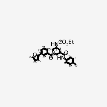 CCOC(=O)NC1CC(C(=O)Nc2ccc(C)cc2)CN(C(=O)c2cccc(-c3ccco3)c2)C1